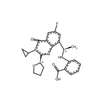 C[C@@H](Nc1ccccc1C(=O)O)c1cc(F)cc2c(=O)n(C3CC3)c([C@H]3CCCO3)nc12